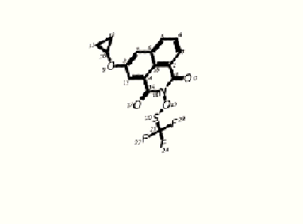 O=C1c2cccc3cc(OC4CC4)cc(c23)C(=O)N1OSC(F)(F)F